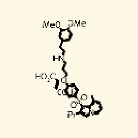 COc1ccc(CCNCCCOc2ccc(S(=O)(=O)c3c(C(C)C)cn4cccc(C)c34)cc2)cc1OC.O=C(O)/C=C/C(=O)O